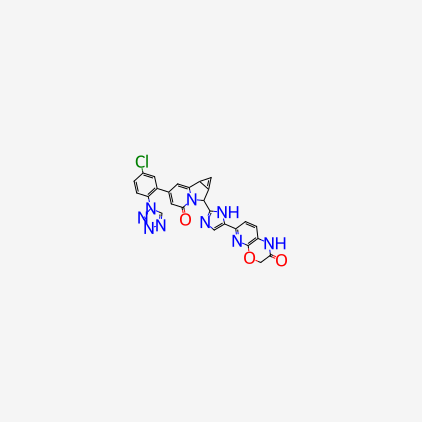 O=C1COc2nc(-c3cnc(C4C5=CC5c5cc(-c6cc(Cl)ccc6-n6cnnn6)cc(=O)n54)[nH]3)ccc2N1